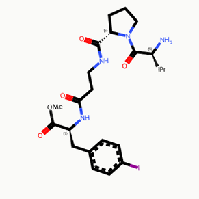 COC(=O)[C@H](Cc1ccc(I)cc1)NC(=O)CCNC(=O)[C@@H]1CCCN1C(=O)[C@@H](N)C(C)C